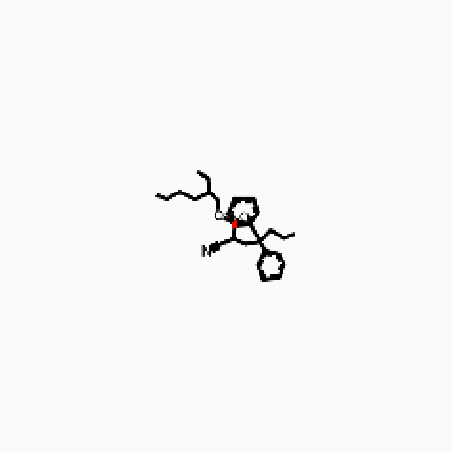 CCCCC(CC)COC(=O)C(C#N)CC(CCC)(c1ccccc1)c1ccccc1